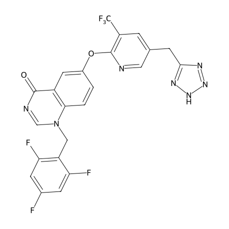 O=c1ncn(Cc2c(F)cc(F)cc2F)c2ccc(Oc3ncc(Cc4nn[nH]n4)cc3C(F)(F)F)cc12